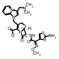 CO/N=C(\C(=O)N[C@@H]1C(=O)N2C(C(=O)[O-])=C(Cn3cc(CN(C)C)[n+]4ccccc34)CS[C@@H]12)c1csc(N)n1